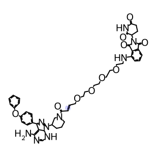 NC1=C2C(c3ccc(Oc4ccccc4)cc3)=NN(C3CCCN(C(=O)/C=C/COCCOCCOCCOCCNc4cccc5c4C(=O)N(C4CCC(=O)NC4=O)C5=O)C3)C2NC=N1